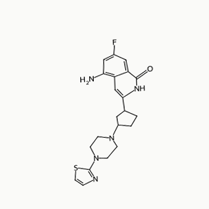 Nc1cc(F)cc2c(=O)[nH]c(C3CCC(N4CCN(c5nccs5)CC4)C3)cc12